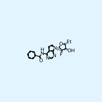 CC[C@H]1O[C@@H](n2ccc3c(NC(=O)c4ccccc4)ncnc32)[C@H](F)[C@@H]1O